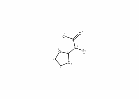 CCN(C(=O)Cl)C1OCCO1